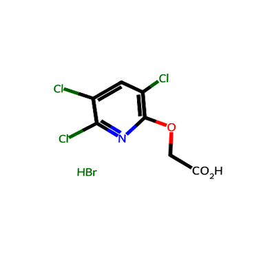 Br.O=C(O)COc1nc(Cl)c(Cl)cc1Cl